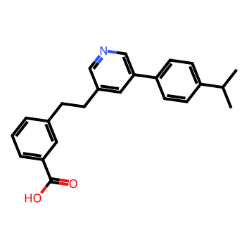 CC(C)c1ccc(-c2cncc(CCc3cccc(C(=O)O)c3)c2)cc1